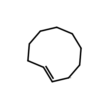 [CH]1/C=C/CCCCCCC1